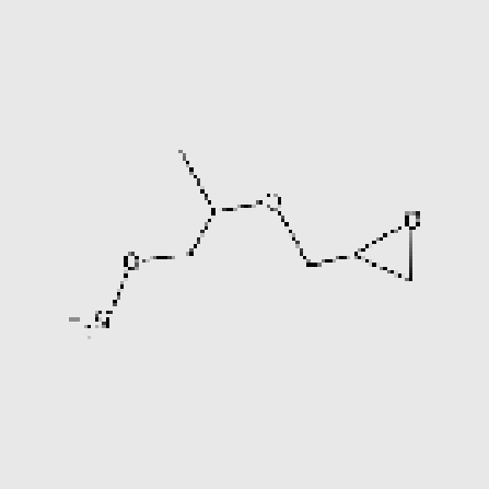 CC(CO[SiH3])OCC1CO1